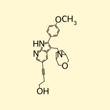 COc1ccc(-c2[nH]c3ncc(C#CCCO)cc3c2CN2C3CCC2COC3)cc1